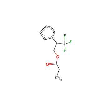 CCC(=O)OCC(c1ccccc1)C(F)(F)F